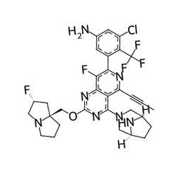 CC#Cc1nc(-c2cc(N)cc(Cl)c2C(F)(F)F)c(F)c2nc(OC[C@@]34CCCN3C[C@H](F)C4)nc(N3C[C@H]4CC[C@@H](C3)N4)c12